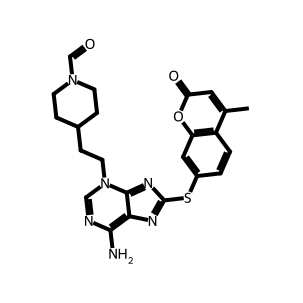 Cc1cc(=O)oc2cc(Sc3nc4c(N)ncn(CCC5CCN(C=O)CC5)c-4n3)ccc12